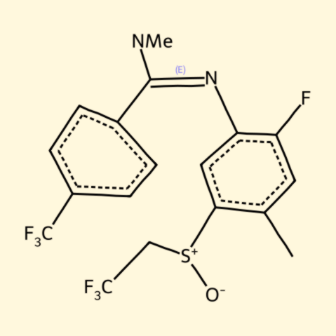 CN/C(=N/c1cc([S+]([O-])CC(F)(F)F)c(C)cc1F)c1ccc(C(F)(F)F)cc1